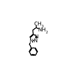 CC(N)Cc1cn(Cc2ccccc2)nn1